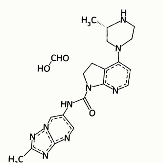 Cc1nc2ncc(NC(=O)N3CCc4c(N5CCN[C@@H](C)C5)ccnc43)cn2n1.O=CO